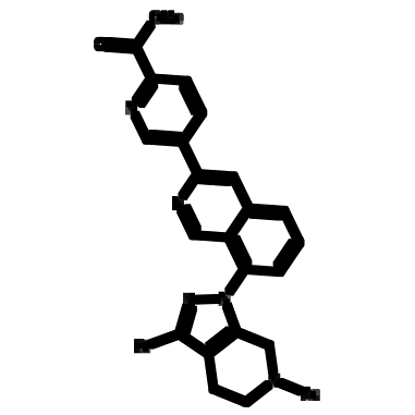 CCc1nn(-c2cccc3cc(-c4ccc(C(=O)OC)nc4)ncc23)c2c1CCN(C(C)=O)C2